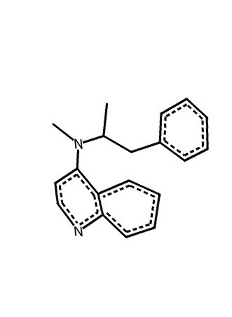 CC(Cc1ccccc1)N(C)c1ccnc2ccccc12